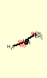 CCCCC[C@@H](O)/C=C/[C@H]1[C@@H]2CC(CCCCC(=O)N(C)C)=C[C@@H]2C[C@@H]1O